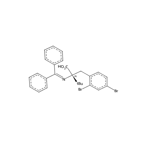 CC(C)(C)[C@@](Cc1ccc(Br)cc1Br)(N=C(c1ccccc1)c1ccccc1)C(=O)O